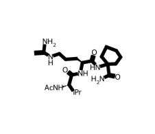 C=C(N)NCCC[C@H](NC(=O)[C@@H](NC(C)=O)C(C)C)C(=O)NC1(C(N)=O)CCCCC1